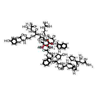 CCCC[C@@H](C(=O)N(C)[C@@H](CCCC)C(=O)N[C@@H](CCCNC(=N)N)C(=O)NC(CSCC(=O)N[C@@H](Cc1ccc(O)cc1)C(=O)NC)C(=O)N[C@@H](CO)C(N)=O)N(C)C(=O)[C@H](Cc1c[nH]c2ccccc12)NC(=O)[C@H](CO)NC(=O)[C@H](Cc1c[nH]c2ccccc12)NC(=O)[C@@H]1C[C@@H](O)CN1C(=O)[C@H](CO)NC(=O)[C@H](Cc1cnc[nH]1)NC(=O)[C@@H]1CCCN1C(=O)[C@@H](N)CC(N)=O